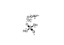 O=S(=O)(O)O.[O-2].[O-2].[O-2].[W+6]